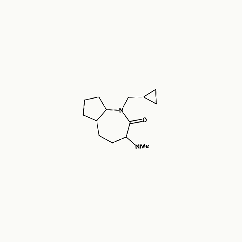 CNC1CCC2CCCC2N(CC2CC2)C1=O